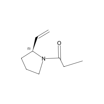 C=C[C@@H]1CCCN1C(=O)CC